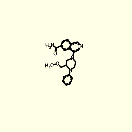 COCC1CN(c2cncc3ccc(C(N)=O)cc23)CCN1c1ccccc1